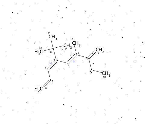 C=C/C=C(\C=C(/C)C(=C)CC)C(C)(C)C